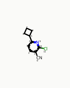 N#Cc1ccc(C2CCC2)nc1Cl